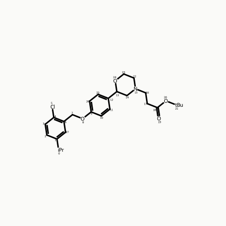 CC(C)c1ccc(Cl)c(COc2ccc(C3CN(CCC(=O)OC(C)(C)C)CCO3)cc2)c1